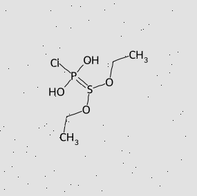 CCOS(OCC)=P(O)(O)Cl